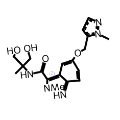 CN/C(C(=O)NC(C)(CO)CO)=C1/C=C(OCc2ccnn2C)C=CC1=N